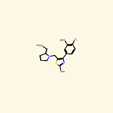 CNc1nc(-c2ccc(C(F)(F)F)c(OC)c2)c(CN2CCCC2COC)s1